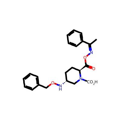 C/C(=N/OC(=O)[C@@H]1CC[C@@H](NOCc2ccccc2)CN1C(=O)O)c1ccccc1